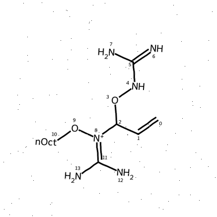 C=CC(ONC(=N)N)[N+](OCCCCCCCC)=C(N)N